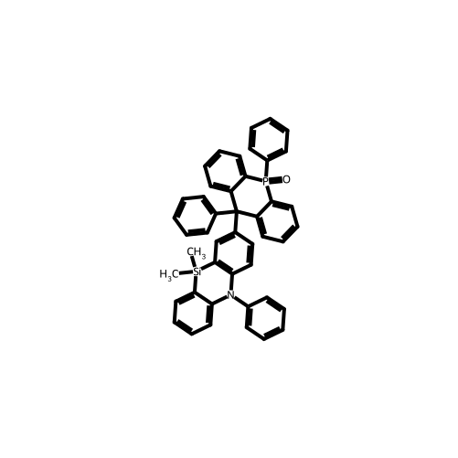 C[Si]1(C)c2ccccc2N(c2ccccc2)c2ccc(C3(c4ccccc4)c4ccccc4P(=O)(c4ccccc4)c4ccccc43)cc21